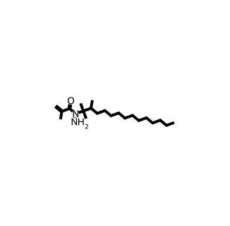 C=C(C)C(=O)N(N)C(C)(C)C(C)CCCCCCCCCCCC